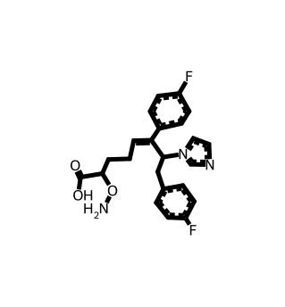 NOC(CC/C=C(/c1ccc(F)cc1)C(Cc1ccc(F)cc1)n1ccnc1)C(=O)O